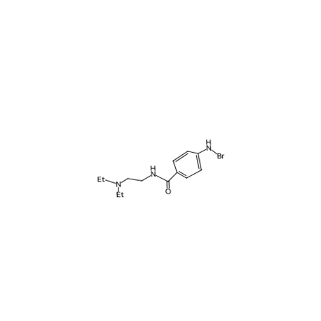 CCN(CC)CCNC(=O)c1ccc(NBr)cc1